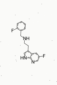 Fc1cnc2[nH]cc(CCNCc3ccccc3F)c2c1